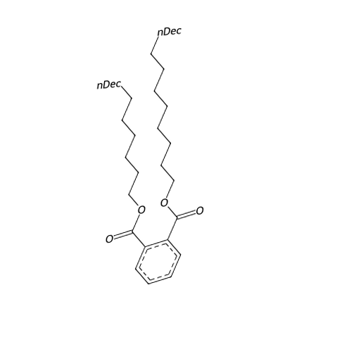 CCCCCCCCCCCCCCCCCCOC(=O)c1ccccc1C(=O)OCCCCCCCCCCCCCCCC